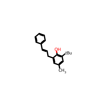 Cc1cc(C/C=C/c2ccccc2)c(O)c(C(C)(C)C)c1